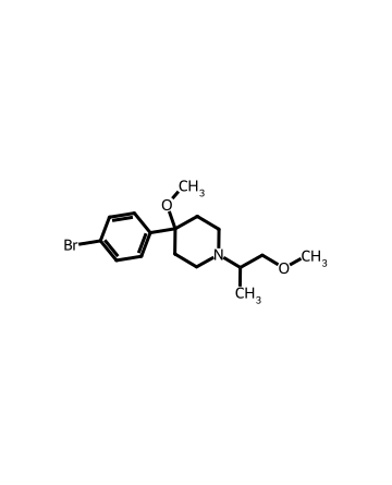 COCC(C)N1CCC(OC)(c2ccc(Br)cc2)CC1